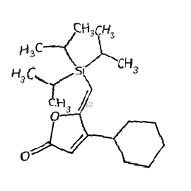 CC(C)[Si](/C=C1\OC(=O)C=C1C1CCCCC1)(C(C)C)C(C)C